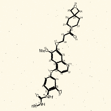 CCCNC(=O)Nc1ccc(Oc2ccnc3cc(OCCC(=O)N4CCC5(CC4)COC5)c(OC)cc23)cc1Cl